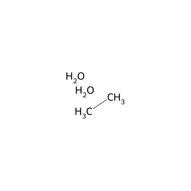 CC.O.O